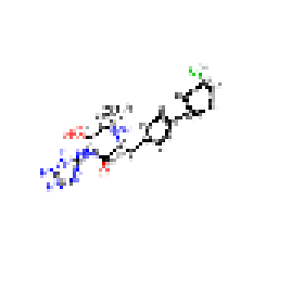 O=C(O)[C@H](CO)N[C@@H](Cc1ccc(-c2cccc(Cl)c2)cc1)C(=O)NC1=NNNN1